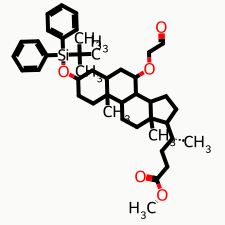 COC(=O)CC[C@@H](C)C1CCC2C3C(OCC=O)CC4CC(O[Si](c5ccccc5)(c5ccccc5)C(C)(C)C)CCC4(C)C3CCC21C